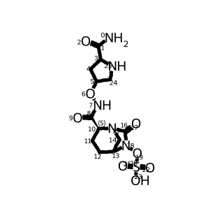 NC(=O)C1CC(ONC(=O)[C@@H]2CCC3CN2C(=O)N3OS(=O)(=O)O)CN1